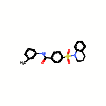 Cc1cccc(NC(=O)c2ccc(S(=O)(=O)N3CCCc4ccccc43)cc2)c1